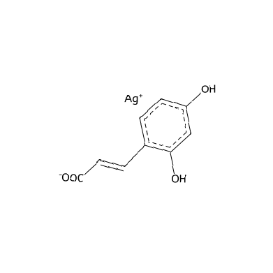 O=C([O-])C=Cc1ccc(O)cc1O.[Ag+]